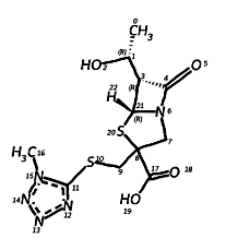 C[C@@H](O)[C@@H]1C(=O)N2CC(CSc3nnnn3C)(C(=O)O)S[C@H]12